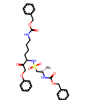 CCC(C)[C@@H](CS(=O)(=O)NC(CCCCNC(=O)OCc1ccccc1)C(=O)COc1ccccc1)NC(=O)OCc1ccccc1